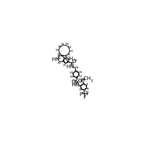 COc1ccc(C(F)(F)F)cc1NS(=O)(=O)c1ccc(CNC(=O)c2cc3c([nH]2)C2(CCCCCCCCC2)CNC3)cc1